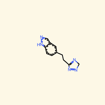 c1cc2[nH]ncc2cc1CCC1=NCN=N1